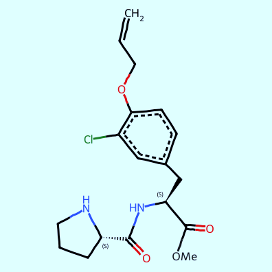 C=CCOc1ccc(C[C@H](NC(=O)[C@@H]2CCCN2)C(=O)OC)cc1Cl